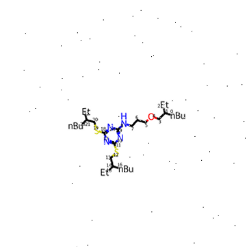 CCCCC(CC)COCCCNc1nc(SCC(CC)CCCC)nc(SCC(CC)CCCC)n1